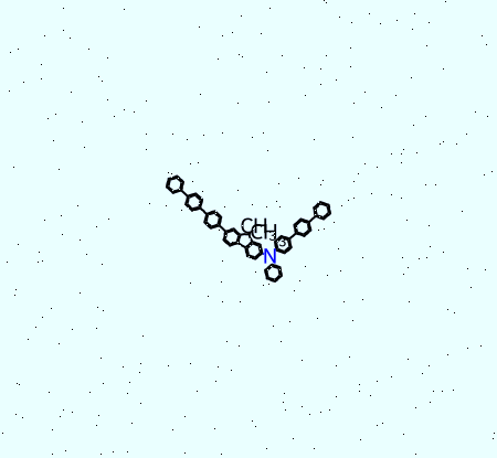 CC1(C)c2cc(-c3ccc(-c4ccc(-c5ccccc5)cc4)cc3)ccc2-c2ccc(N(c3ccccc3)c3ccc(-c4ccc(-c5ccccc5)cc4)cc3)cc21